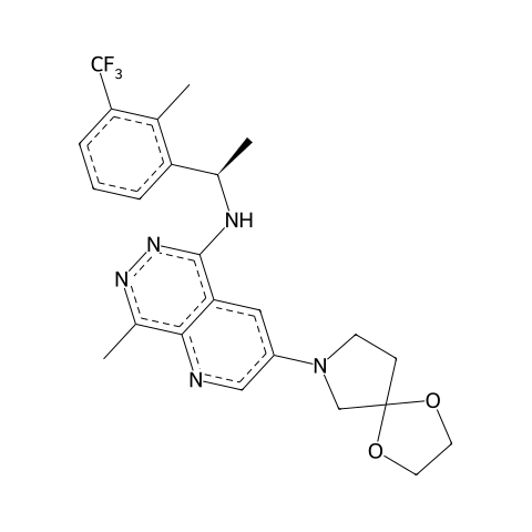 Cc1c([C@@H](C)Nc2nnc(C)c3ncc(N4CCC5(C4)OCCO5)cc23)cccc1C(F)(F)F